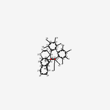 Cc1c(C)c(C)c2c(c1C)-c1c(C)c(C)c(C)c(C)c1C1(C=CSc3cc4ccccc4cc31)c1c(C)c(C)c(C)c(C)c1-2